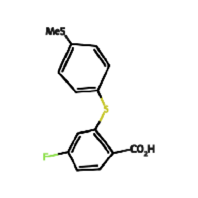 CSc1ccc(Sc2cc(F)ccc2C(=O)O)cc1